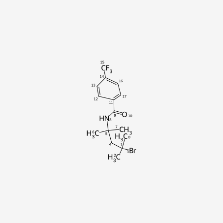 CC(C)(Br)CC(C)(C)NC(=O)c1ccc(C(F)(F)F)cc1